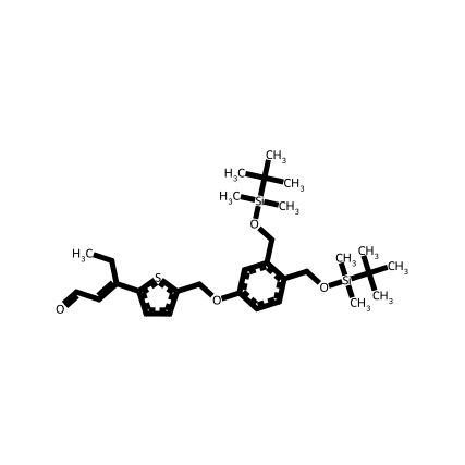 CC/C(=C\C=O)c1ccc(COc2ccc(CO[Si](C)(C)C(C)(C)C)c(CO[Si](C)(C)C(C)(C)C)c2)s1